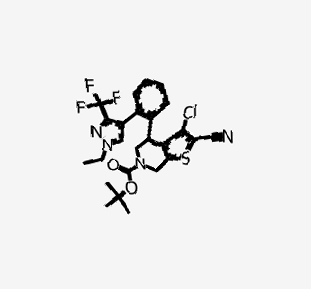 CCn1cc(-c2ccccc2C2CN(C(=O)OC(C)(C)C)Cc3sc(C#N)c(Cl)c32)c(C(F)(F)F)n1